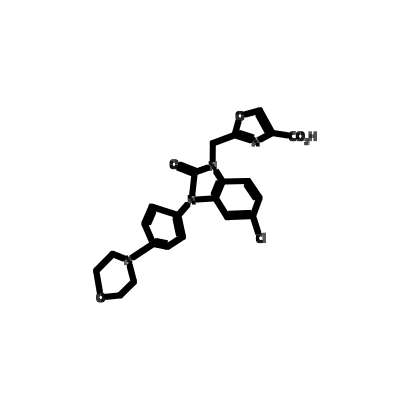 O=C(O)c1coc(Cn2c(=O)n(-c3ccc(N4CCOCC4)cc3)c3cc(Cl)ccc32)n1